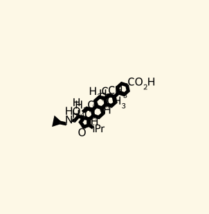 CC(C)C1=C2[C@H]3CC[C@@H]4[C@@]5(C)CC=C(C6=CCC(C(=O)O)CC6)C(C)(C)[C@@H]5CC[C@@]4(C)[C@]3(C)CC[C@@]2([C@@H](O)CNCC2CC2)CC1=O